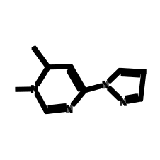 CC1C=C(n2cccn2)N=CN1C